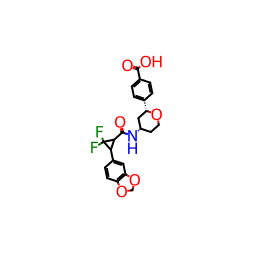 O=C(O)c1ccc([C@H]2C[C@@H](NC(=O)C3C(c4ccc5c(c4)OCO5)C3(F)F)CCO2)cc1